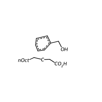 CCCCCCCCCCCC(=O)O.OCc1ccccc1